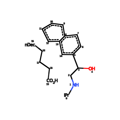 CC(C)NCC(O)c1ccc2ccccc2c1.CCCCCCCCCCCCCC(=O)O